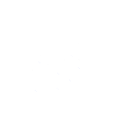 CN(C)C(=O)Cn1c(N2CCC3CNCC32)nc2c1c(=O)n(CC(=O)c1ccccc1)c(=O)n2C.Cl